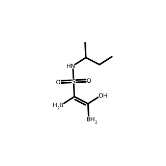 B/C(O)=C(\B)S(=O)(=O)NC(C)CC